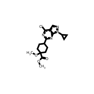 COC(=O)C1(OC)CCC(c2nc(Cl)c3cnn(C4CC4)c3n2)CC1